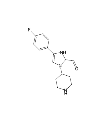 O=CC1NC(c2ccc(F)cc2)=CN1C1CCNCC1